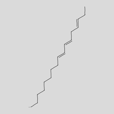 [CH2]CCCCCCC/C=C/C=C/C/C=C/CC